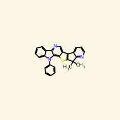 CC1(C)c2ncccc2-c2c1sc1c2cnc2c3ccccc3n(-c3ccccc3)c21